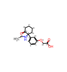 CCNC1(c2cccc(OCC(=O)O)c2)CCCCC1=O